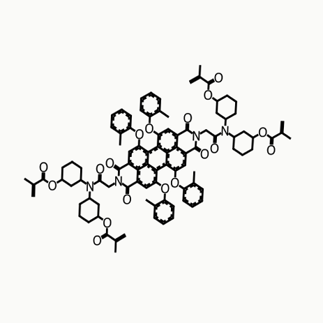 C=C(C)C(=O)OC1CCCC(N(C(=O)CN2C(=O)c3cc(Oc4ccccc4C)c4c5c(Oc6ccccc6C)cc6c7c(cc(Oc8ccccc8C)c(c8c(Oc9ccccc9C)cc(c3c48)C2=O)c75)C(=O)N(CC(=O)N(C2CCCC(OC(=O)C(=C)C)C2)C2CCCC(OC(=O)C(=C)C)C2)C6=O)C2CCCC(OC(=O)C(=C)C)C2)C1